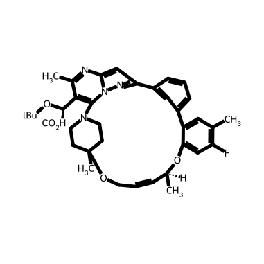 Cc1cc2c(cc1F)O[C@@H](C)C=CCOC1(C)CCN(CC1)c1c([C@H](OC(C)(C)C)C(=O)O)c(C)nc3cc(nn13)-c1cccc-2c1